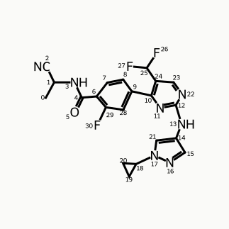 CC(C#N)NC(=O)c1ccc(-c2nc(Nc3cnn(C4CC4)c3)ncc2C(F)F)cc1F